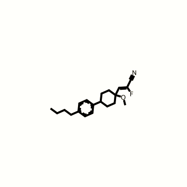 CCCCc1ccc(C2CCC(C=C(F)C#N)(OC)CC2)cc1